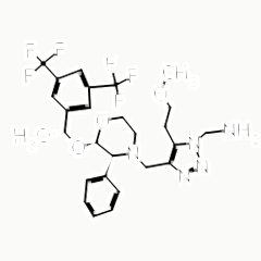 COCCc1c(CN2CCO[C@H](O[C@H](C)c3cc(C(F)(F)F)cc(C(F)(F)F)c3)[C@@H]2c2ccccc2)nnn1CN